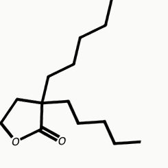 CCCCCC1(CCCCC)CCOC1=O